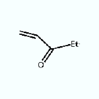 C=CC(=O)[CH]C